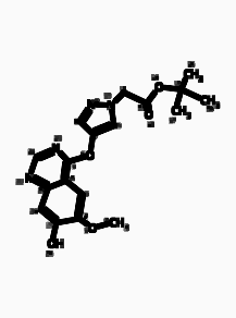 COc1cc2c(Oc3cnn(CC(=O)OC(C)(C)C)c3)ncnc2cc1O